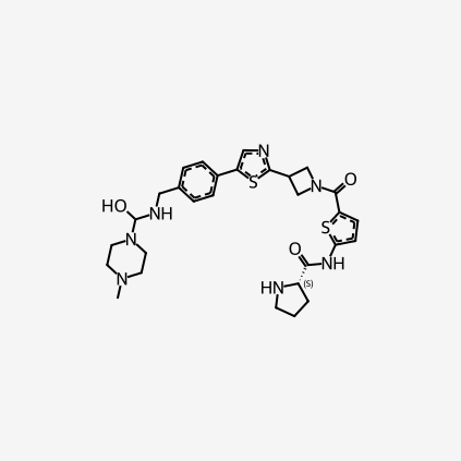 CN1CCN(C(O)NCc2ccc(-c3cnc(C4CN(C(=O)c5ccc(NC(=O)[C@@H]6CCCN6)s5)C4)s3)cc2)CC1